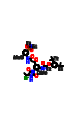 CCC(Oc1ccc(C(C)(C)CC)cc1C(C)(C)CC)C(=O)Nc1cc(C(=O)CC(=O)Nc2cc(S(=O)(=O)N(CC)CC)ccc2OC)cc(N2C(=O)NC(=C(C)Br)C2=O)c1OC